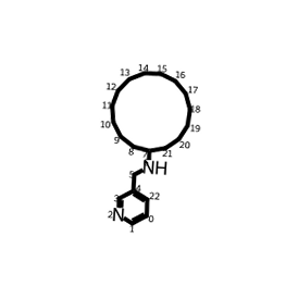 c1cncc(CNC2CCCCCCCCCCCCCC2)c1